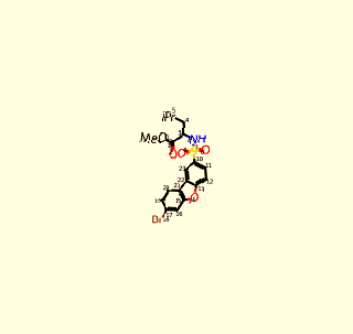 COC(=O)C(CC(C)C)NS(=O)(=O)c1ccc2oc3cc(Br)ccc3c2c1